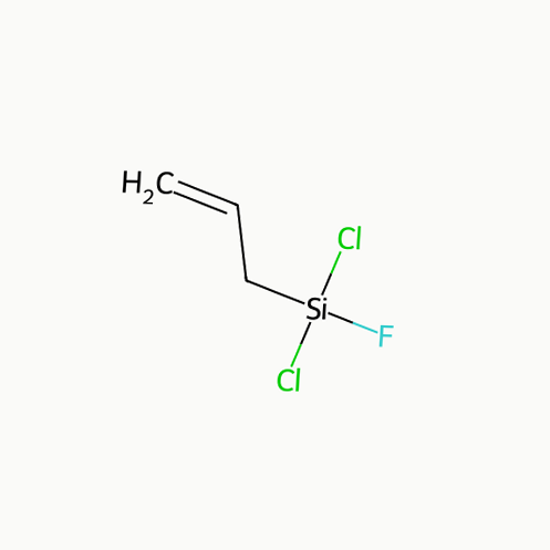 C=CC[Si](F)(Cl)Cl